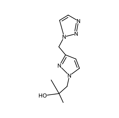 CC(C)(O)Cn1ccc(Cn2ccnn2)n1